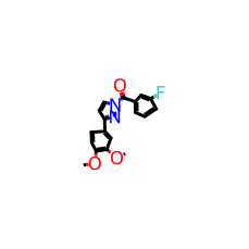 COc1ccc(-c2ccn(C(=O)c3cccc(F)c3)n2)cc1OC